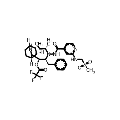 CC[C@H](C)N(NC(=O)c1ccnc(NCS(C)(=O)=O)c1)[C@@H](Cc1ccccc1)[C@@H](OC(=O)C(F)(F)F)[C@@H]1N[C@H]2CC[C@H]1CC2